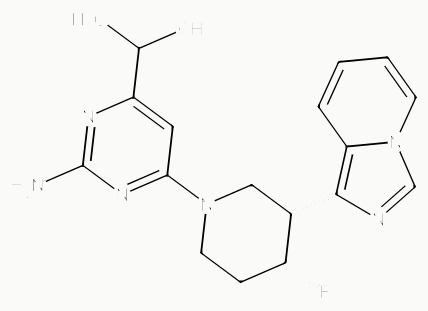 CC(C)c1cc(N2CC[C@@H](F)[C@@H](c3ncn4ccccc34)C2)nc(N)n1